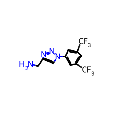 NCc1cn(-c2cc(C(F)(F)F)cc(C(F)(F)F)c2)nn1